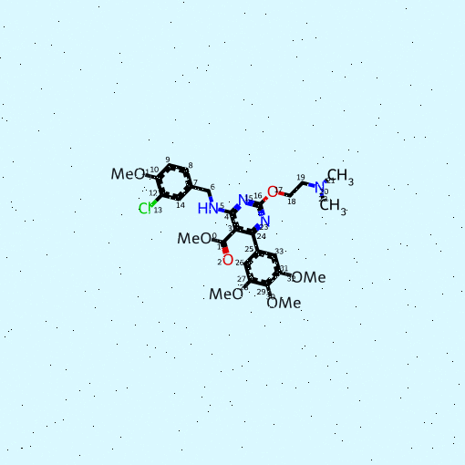 COC(=O)c1c(NCc2ccc(OC)c(Cl)c2)nc(OCCN(C)C)nc1-c1cc(OC)c(OC)c(OC)c1